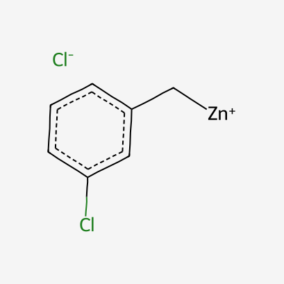 Clc1cccc([CH2][Zn+])c1.[Cl-]